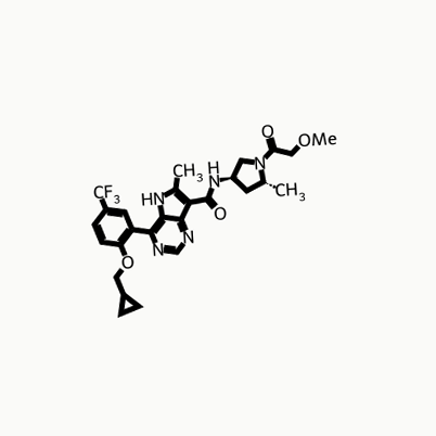 COCC(=O)N1C[C@H](NC(=O)c2c(C)[nH]c3c(-c4cc(C(F)(F)F)ccc4OCC4CC4)ncnc23)C[C@H]1C